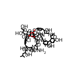 CNC(CC(C)C)C(=O)NC1C(=O)NC(CC(N)=O)C(=O)NC2C(=O)NC3C(=O)NC(C(=O)NC(C(C)=O)c4cc(O)cc(O)c4-c4cc3ccc4O)C(O)c3ccc(c(Cl)c3)Oc3cc2cc(c3OC2OC(CO)C(O)C(O)C2OC2CC(C)(C)C(O)C(C)O2)Oc2ccc(cc2Cl)C1O